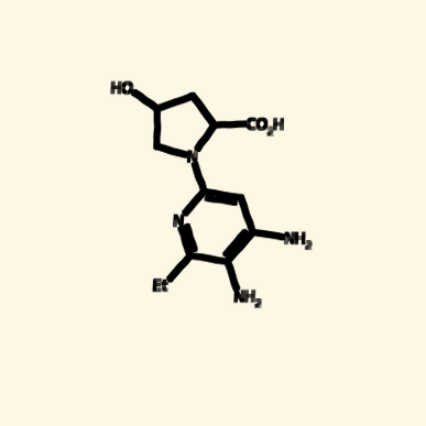 CCc1nc(N2CC(O)CC2C(=O)O)cc(N)c1N